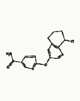 NC(=O)c1ccc(Oc2ccc3c(c2)CCCC3Cl)nc1